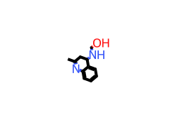 CC1=Nc2ccccc2C(NCO)C1